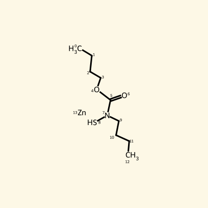 CCCCOC(=O)N(S)CCCC.[Zn]